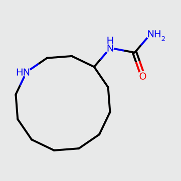 NC(=O)NC1CCCCCCCCNCC1